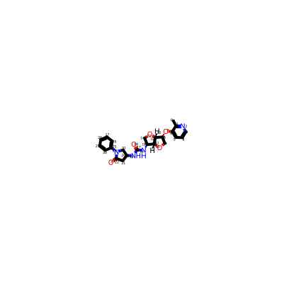 Cc1ncccc1O[C@H]1CO[C@H]2[C@@H]1OC[C@@H]2NC(=O)NC1CC(=O)N(c2ccccc2)C1